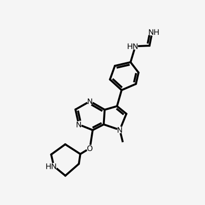 Cn1cc(-c2ccc(NC=N)cc2)c2ncnc(OC3CCNCC3)c21